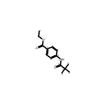 CCOC(=O)c1ccc(NC(=O)C(C)(C)C)cc1